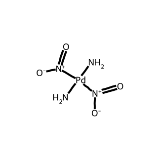 [NH2][Pd]([NH2])([N+](=O)[O-])[N+](=O)[O-]